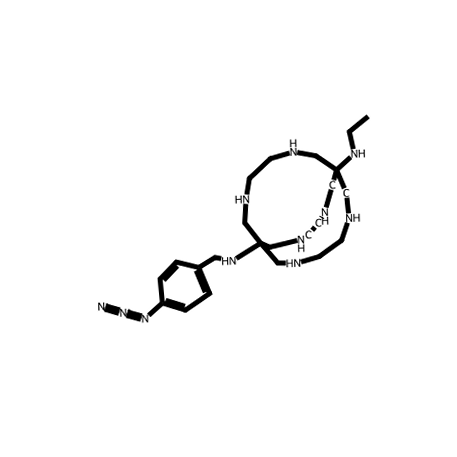 CCNC12CNCCNCC(NCc3ccc(N=[N+]=[N-])cc3)(CNCCNC1)CNCCNC2